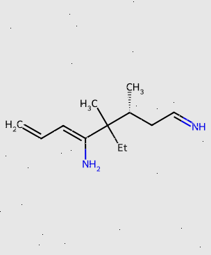 C=CC=C(N)C(C)(CC)[C@H](C)CC=N